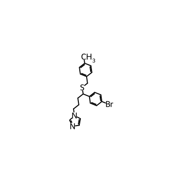 Cc1ccc(CSC(CCCn2ccnc2)c2ccc(Br)cc2)cc1